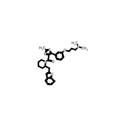 Cc1nc(C(=O)N2CCCCC2Cc2cc3ccccc3o2)c(-c2cccc(OCCCN(C)C)c2)s1